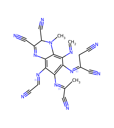 C=Nc1c(/N=C(/C#N)CC#N)c(/N=C(\C)C#N)c(/N=C/C#N)c2c1N(C)C(C#N)C(C#N)=N2